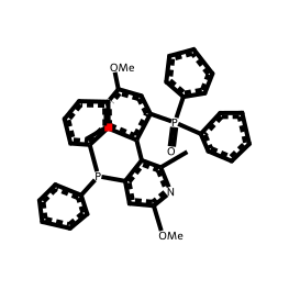 COc1cc(P(c2ccccc2)c2ccccc2)c(-c2c(P(=O)(c3ccccc3)c3ccccc3)cc(OC)nc2C)c(C)n1